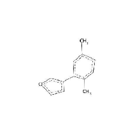 Cc1ccc(C)c(-c2ccoc2)c1